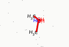 CCCCCCC/C=C/C=C/[C@@H](O)[C@H](CO)NC(=O)CCCCCCCCCCCCCCCCCCCCCCC